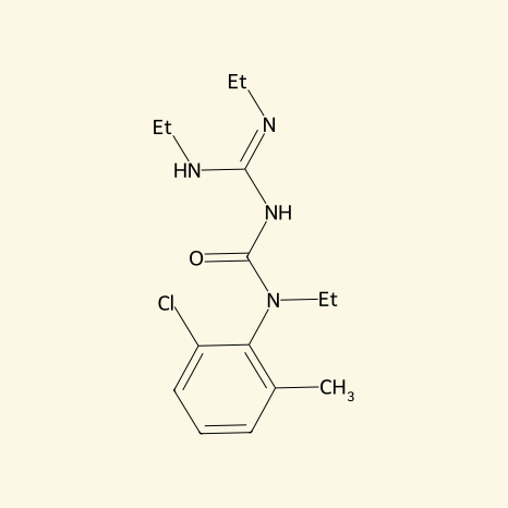 CCN=C(NCC)NC(=O)N(CC)c1c(C)cccc1Cl